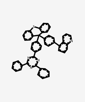 c1ccc(-c2nc(-c3ccccc3)nc(-c3ccc(C4(c5ccc(-c6cccc7ncccc67)cc5)c5ccccc5Sc5ccccc54)cc3)n2)cc1